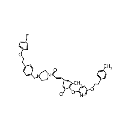 Cc1ccc(CCOc2ccc(Oc3c(C)cc(/C=C/C(=O)N4CCN(Cc5ccc(CCOc6ccc(F)cc6)cc5)CC4)cc3Cl)nc2)cc1